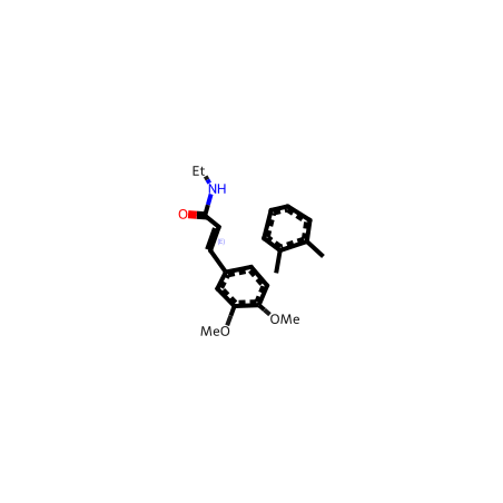 CCNC(=O)/C=C/c1ccc(OC)c(OC)c1.Cc1ccccc1C